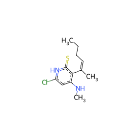 CCC/C=C(/C)c1c(NC)cc(Cl)[nH]c1=S